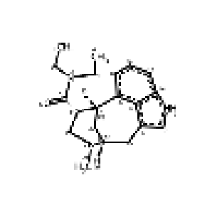 CCN(CC)C(=O)[C@H]1CN(C)[C@H]2Cc3c[nH]c4cccc(c34)[C@@H]1C2